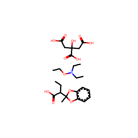 CCC(C(=O)O)C1(C)Oc2ccccc2O1.CCON(CC)CC.O=C(O)CC(O)(CC(=O)O)C(=O)O